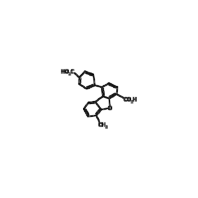 Cc1cccc2c1oc1c(C(=O)O)ccc(-c3ccc(C(=O)O)cc3)c12